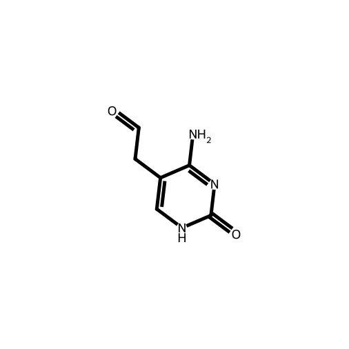 Nc1nc(=O)[nH]cc1CC=O